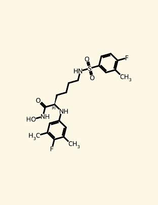 Cc1cc(S(=O)(=O)NCCCC[C@@H](Nc2cc(C)c(F)c(C)c2)C(=O)NO)ccc1F